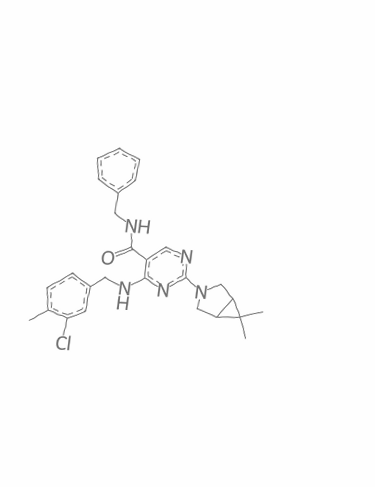 Cc1ccc(CNc2nc(N3CC4C(C3)C4(C)C)ncc2C(=O)NCc2ccccc2)cc1Cl